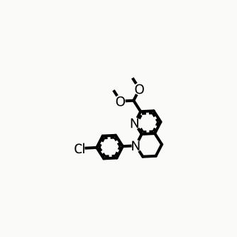 COC(OC)c1ccc2c(n1)N(c1ccc(Cl)cc1)CCC2